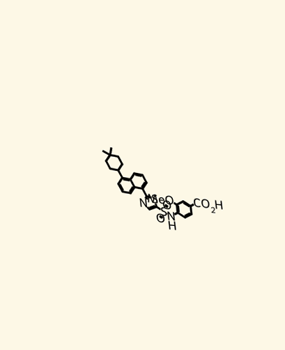 COc1cc(C(=O)O)ccc1NS(=O)(=O)c1cnc(-c2cccc3c(C4CCC(C)(C)CC4)cccc23)s1